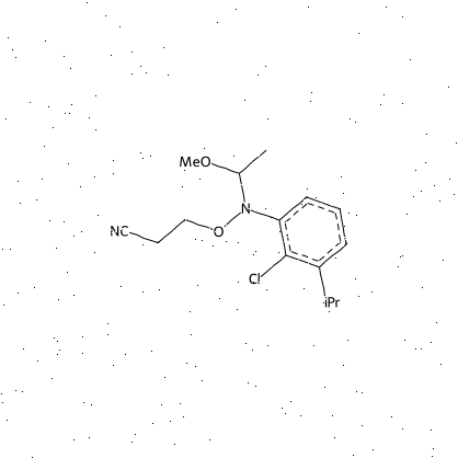 COC(C)N(OCCC#N)c1cccc(C(C)C)c1Cl